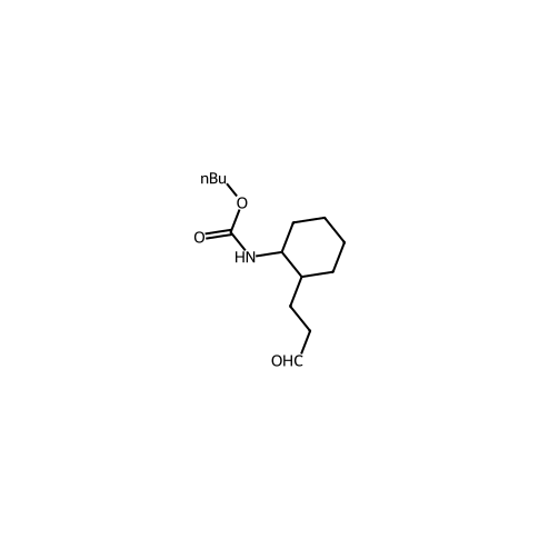 CCCCOC(=O)NC1CCCCC1CCC=O